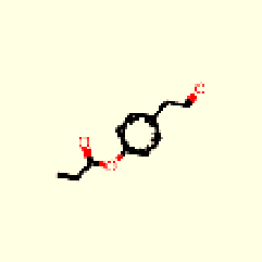 CCC(=O)Oc1ccc(CC=O)cc1